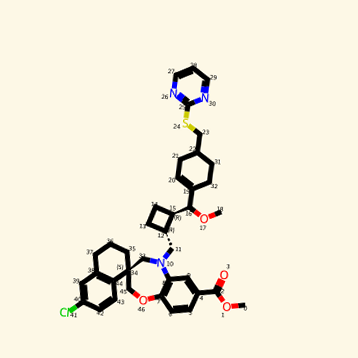 COC(=O)c1ccc2c(c1)N(C[C@@H]1CC[C@H]1C(OC)C1=CCC(CSc3ncccn3)CC1)C[C@@]1(CCCc3cc(Cl)ccc31)CO2